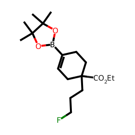 CCOC(=O)C1(CCCF)CC=C(B2OC(C)(C)C(C)(C)O2)CC1